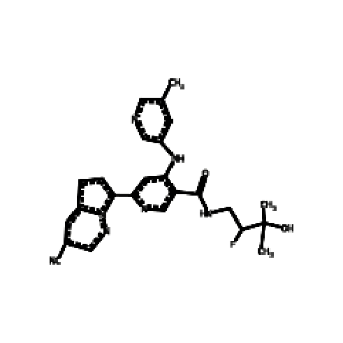 Cc1cncc(Nc2cc(-c3ccc4cc(C#N)cnn34)ncc2C(=O)NCC(F)C(C)(C)O)c1